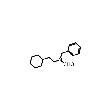 O=CN(CCC1CCCCC1)Cc1ccccc1